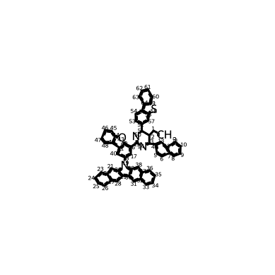 CCC1C(c2ccc3ccccc3c2)=NC(c2cc(-n3c4cc5ccccc5cc4c4cc5ccccc5cc43)cc3c2oc2ccccc23)=NC1c1ccc2c(c1)sc1ccccc12